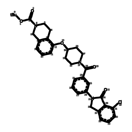 CC(C)(C)OC(=O)N1CCc2c(cccc2OC2CCN(C(=O)c3cccc(N4Cc5cccc(Cl)c5C4=O)c3)CC2)C1